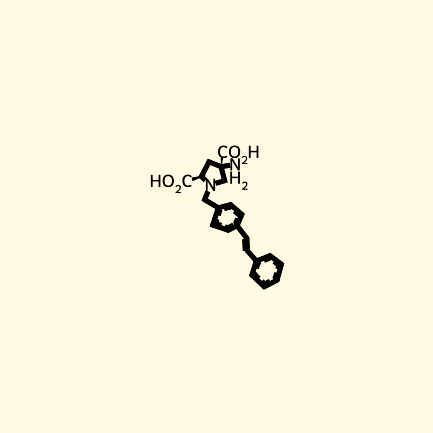 N[C@]1(C(=O)O)C[C@H](C(=O)O)N(Cc2ccc(C=Cc3ccccc3)cc2)C1